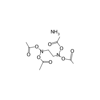 CC(=O)ON(CCN(OC(C)=O)OC(C)=O)OC(C)=O.N